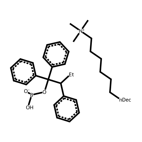 CCC(c1ccccc1)C(OB([O-])O)(c1ccccc1)c1ccccc1.CCCCCCCCCCCCCCCC[N+](C)(C)C